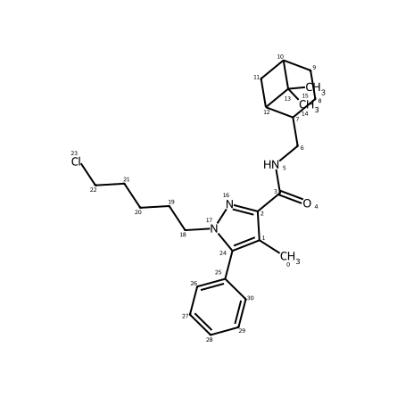 Cc1c(C(=O)NCC2CCC3CC2C3(C)C)nn(CCCCCCl)c1-c1ccccc1